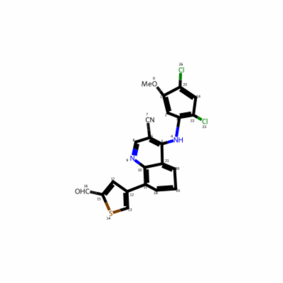 COc1cc(Nc2c(C#N)cnc3c(-c4csc(C=O)c4)cccc23)c(Cl)cc1Cl